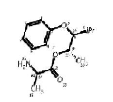 CC(C)[C@H](Oc1ccccc1)[C@H](C)OC(=O)[C@@H](C)N